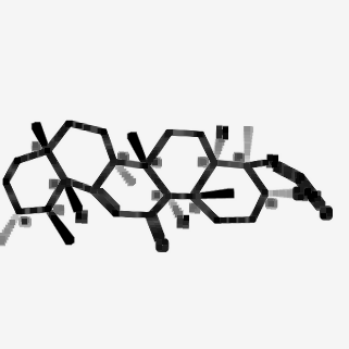 CC(=O)O[C@@H]1CC[C@@]2(C)[C@@H](CC[C@]3(C)[C@@H]2C(=O)C=C2[C@@H]4[C@@H](C)[C@H](C)CC[C@]4(C)CC[C@]23C)[C@@]1(C)N=C=O